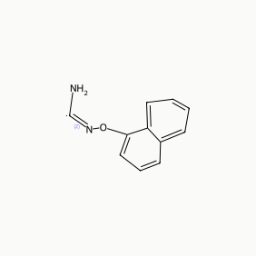 N/[C]=N\Oc1cccc2ccccc12